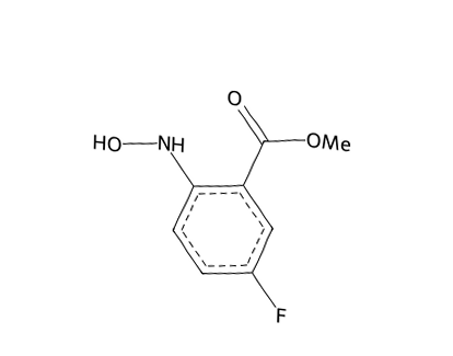 COC(=O)c1cc(F)ccc1NO